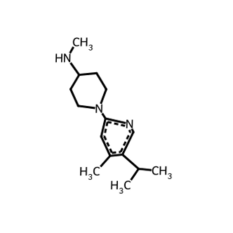 CNC1CCN(c2cc(C)c(C(C)C)cn2)CC1